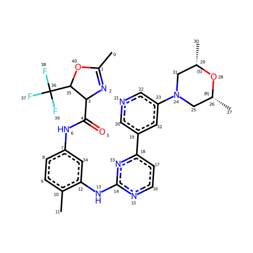 CC1=NC(C(=O)Nc2ccc(C)c(Nc3nccc(-c4cncc(N5C[C@@H](C)O[C@@H](C)C5)c4)n3)c2)C(C(F)(F)F)O1